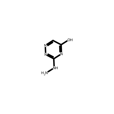 NNc1nncc(O)n1